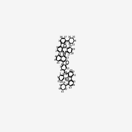 c1ccc(N(c2ccc3c(c2)oc2cc(N(c4ccccc4)c4cccc5c4oc4c(C6CCCCC6)cccc45)c4ccccc4c23)c2cccc3c2oc2c(C4CCCCC4)cccc23)cc1